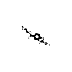 COCCOC(=O)c1ccc2nc(N)sc2c1